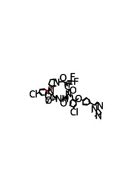 COC[C@@H]1NC(=O)[C@H](C)N(Cc2ccc(Cl)cc2Oc2ccc(-c3cnc(CN(C)C)n3C)cc2)C(=O)C[C@@H](CC(F)(F)F)C(=O)N2CCC[C@@](Cc3ccc(Cl)cc3)(C2)N(C)C1=O